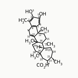 Cc1c(O)c(O)cc2c1CC=C1[C@@]2(C)CC[C@@]2(C)[C@@H]3CC[C@@H](C)C(C(=O)O)C[C@]3(C)CC[C@]12C